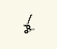 CCCCCCCOC1(C#N)C=CC(C(=O)O)=C(c2ccccc2)C1